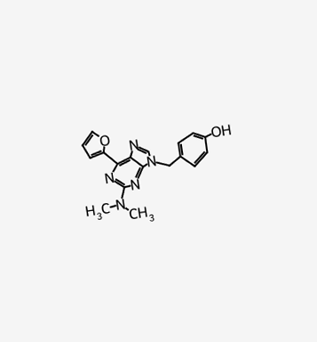 CN(C)c1nc(-c2ccco2)c2ncn(Cc3ccc(O)cc3)c2n1